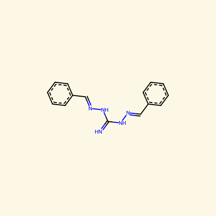 N=C(NN=Cc1ccccc1)NN=Cc1ccccc1